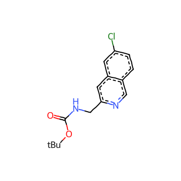 CC(C)(C)OC(=O)NCc1cc2cc(Cl)ccc2cn1